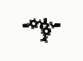 CC(C)(C)c1ccc(CC(=O)N[C@H](CCO)c2ccc(C3CC3)cn2)cc1